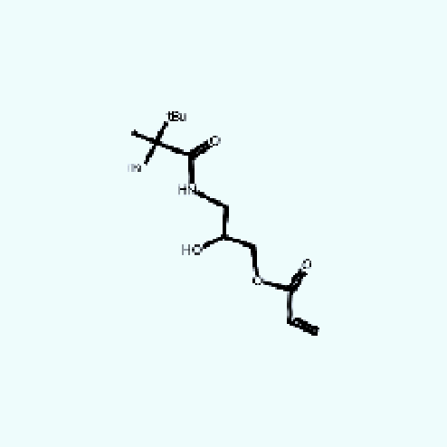 C=CC(=O)OCC(O)CNC(=O)C(C)(C(C)(C)C)C(C)(C)C